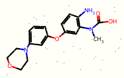 CN(C(=O)O)c1cc(Oc2cccc(N3CCOCC3)c2)ccc1N